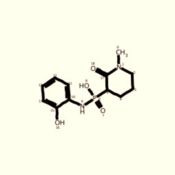 CN1CCCC(P(=O)(O)Nc2ccccc2O)C1=O